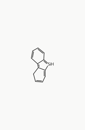 C1=CCC2=c3ccccc3=[SiH]C2=C1